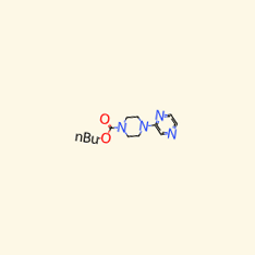 CCCCOC(=O)N1CCN(c2cnccn2)CC1